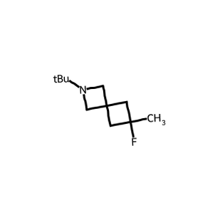 CC1(F)CC2(CN(C(C)(C)C)C2)C1